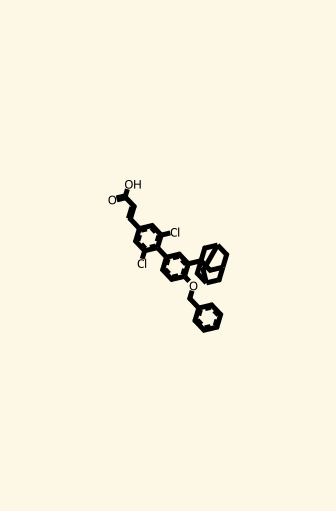 O=C(O)C=Cc1cc(Cl)c(-c2ccc(OCc3ccccc3)c(C34CC5CC(CC(C5)C3)C4)c2)c(Cl)c1